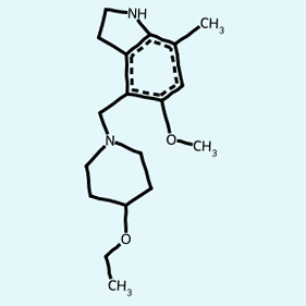 CCOC1CCN(Cc2c(OC)cc(C)c3c2CCN3)CC1